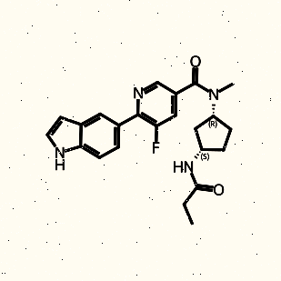 CCC(=O)N[C@H]1CC[C@@H](N(C)C(=O)c2cnc(-c3ccc4[nH]ccc4c3)c(F)c2)C1